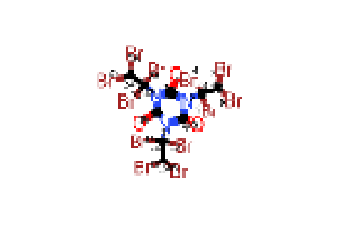 O=c1n(C(Br)(Br)C(Br)Br)c(=O)n(C(Br)(Br)C(Br)Br)c(=O)n1C(Br)(Br)C(Br)Br